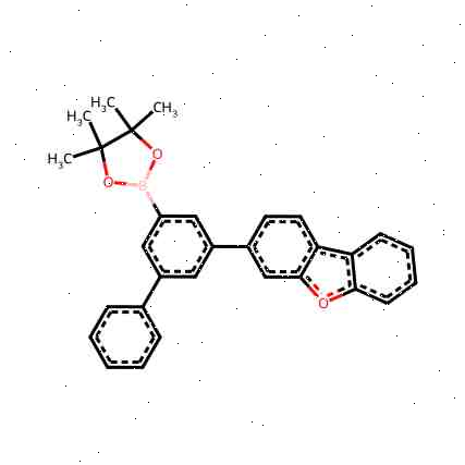 CC1(C)OB(c2cc(-c3ccccc3)cc(-c3ccc4c(c3)oc3ccccc34)c2)OC1(C)C